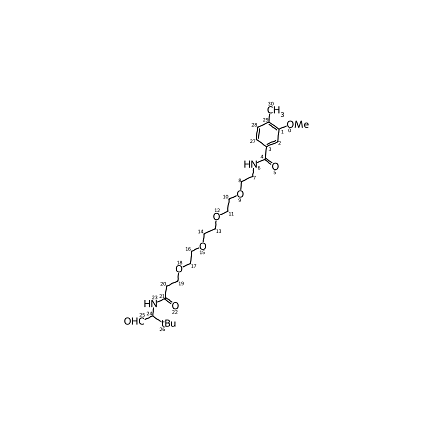 COc1cc(C(=O)NCCOCCOCCOCCOCCC(=O)NC(C=O)C(C)(C)C)ccc1C